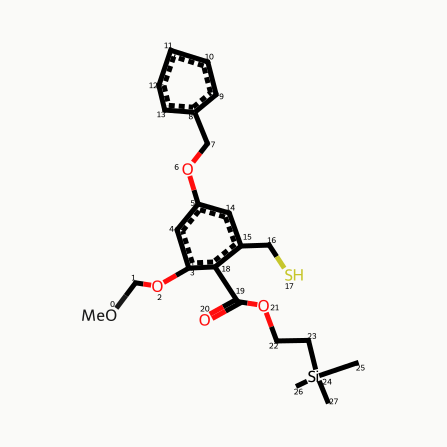 COCOc1cc(OCc2ccccc2)cc(CS)c1C(=O)OCC[Si](C)(C)C